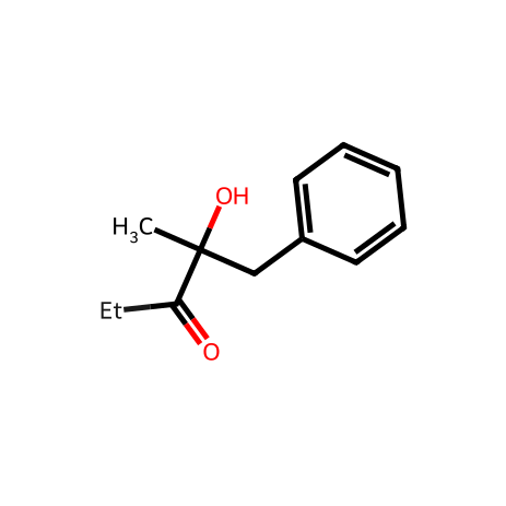 CCC(=O)C(C)(O)Cc1ccccc1